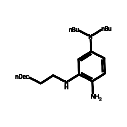 CCCCCCCCCCCCNc1cc(N(CCCC)CCCC)ccc1N